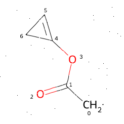 [CH2]C(=O)OC1=CC1